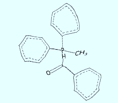 C[PH](C(=O)c1ccccc1)(c1ccccc1)c1ccccc1